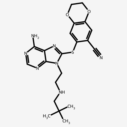 CC(C)(C)CNCCn1c(Sc2cc3c(cc2C#N)OCCO3)nc2c(N)ncnc21